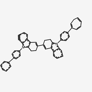 c1ccc2c3c(n(-c4ccc(-c5ccccc5)cc4)c2c#1)CCC(C1=Cc2c(n(-c4ccc(C5=CCC=CC=C5)cc4)c4ccccc24)CC1)=C3